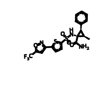 C[C@@H]1[C@H](c2ccccc2)[C@]1(NS(=O)(=O)c1ccc(-c2cc(C(F)(F)F)on2)s1)C(N)=O